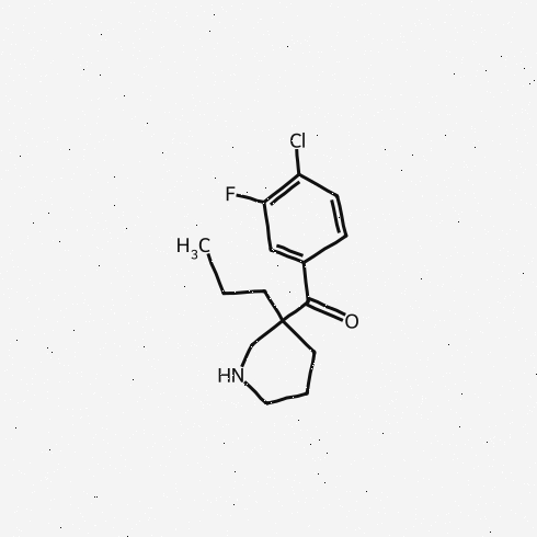 CCCC1(C(=O)c2ccc(Cl)c(F)c2)CCCNC1